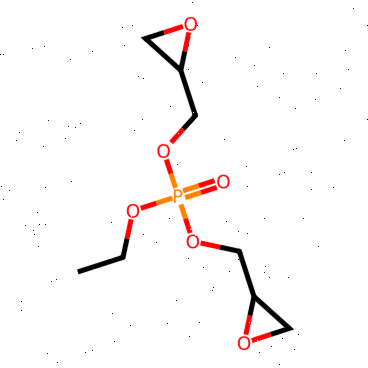 CCOP(=O)(OCC1CO1)OCC1CO1